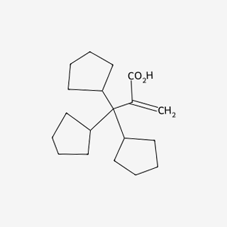 C=C(C(=O)O)C(C1CCCC1)(C1CCCC1)C1CCCC1